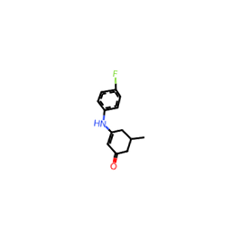 CC1CC(=O)C=C(Nc2ccc(F)cc2)C1